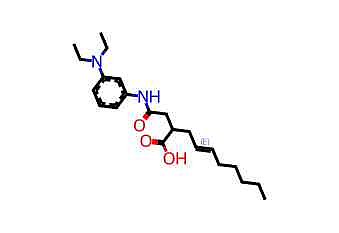 CCCCC/C=C/CC(CC(=O)Nc1cccc(N(CC)CC)c1)C(=O)O